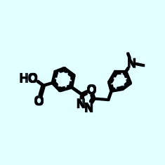 CN(C)c1ccc(Cc2nnc(-c3cccc(C(=O)O)c3)o2)cc1